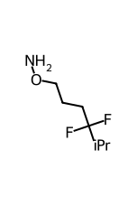 CC(C)C(F)(F)CCCON